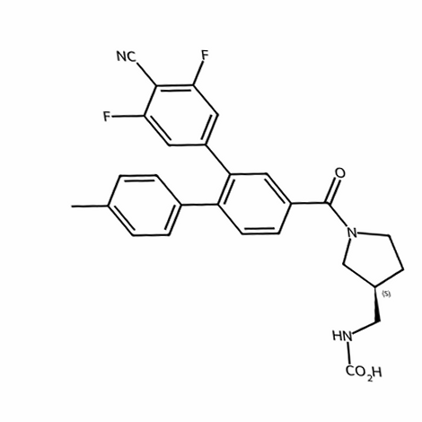 Cc1ccc(-c2ccc(C(=O)N3CC[C@@H](CNC(=O)O)C3)cc2-c2cc(F)c(C#N)c(F)c2)cc1